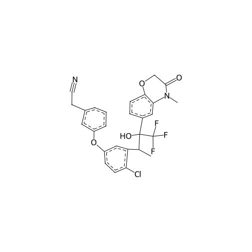 CC(c1cc(Oc2cccc(CC#N)c2)ccc1Cl)C(O)(c1ccc2c(c1)N(C)C(=O)CO2)C(F)(F)F